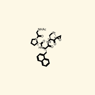 CC(=O)NCC(=O)N1CCC[C@H]1C(=O)N[C@@H](Cc1cccc2ccccc12)C(=O)N[C@@H](CC(C)C)C(=O)[C@@]1(C)CO1